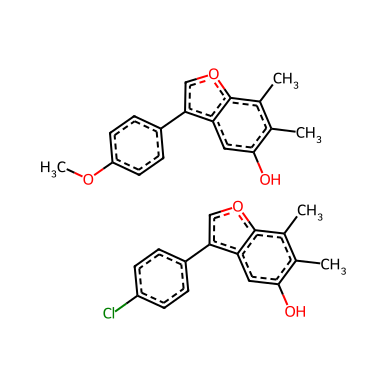 COc1ccc(-c2coc3c(C)c(C)c(O)cc23)cc1.Cc1c(O)cc2c(-c3ccc(Cl)cc3)coc2c1C